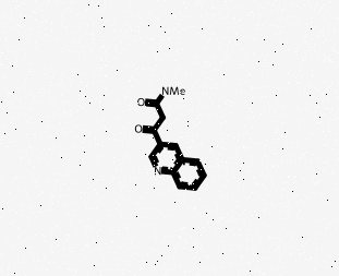 CNC(=O)CC(=O)c1cnc2ccccc2c1